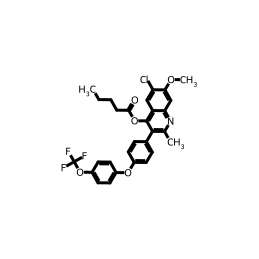 CCCCC(=O)Oc1c(-c2ccc(Oc3ccc(OC(F)(F)F)cc3)cc2)c(C)nc2cc(OC)c(Cl)cc12